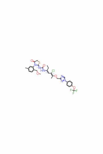 CC/C(=C\C(Cl)=C(/C)OCc1ncn(-c2ccc(OC(F)(F)F)cc2)n1)NC(=O)/N=C1\SCC(=O)N1c1cc(C)ccc1COC